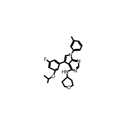 Cc1cccc(-n2cc(-c3cc(F)cc(OC(C)C)c3)c3c(NC4CCOCC4)ncnc32)c1